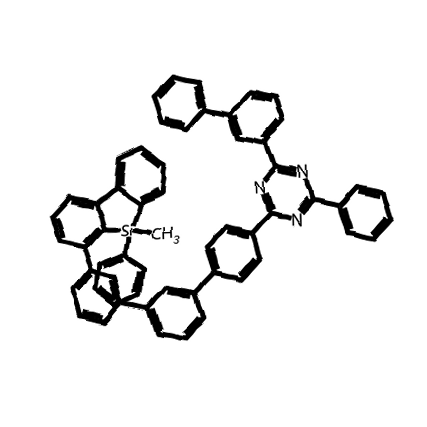 C[Si]1(c2ccccc2)c2ccccc2-c2cccc(-c3cccc(-c4cccc(-c5ccc(-c6nc(-c7ccccc7)nc(-c7cccc(-c8ccccc8)c7)n6)cc5)c4)c3)c21